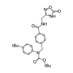 CC(C)(C)OC(=O)N(Cc1ccc(C(=O)NCc2noc(=O)[nH]2)cc1)c1ccc(C(C)(C)C)cc1